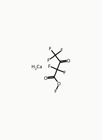 O=C(OF)C(F)(F)C(=O)C(F)(F)F.[CaH2]